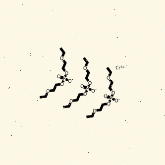 CCOCCOP(=O)([O-])OCCOCC.CCOCCOP(=O)([O-])OCCOCC.CCOCCOP(=O)([O-])OCCOCC.[Cr+3]